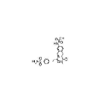 CNC(=O)[C@@H]1Cc2ccc(NS(=O)(=O)O)cc2CN1C(=O)CCc1ccc(S(N)(=O)=O)cc1